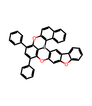 c1ccc(-c2cc(-c3ccccc3)c3c4c2Oc2cc5oc6ccccc6c5cc2B4c2c(ccc4ccccc24)O3)cc1